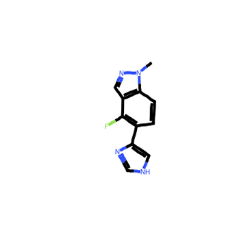 Cn1ncc2c(F)c(-c3c[nH]cn3)ccc21